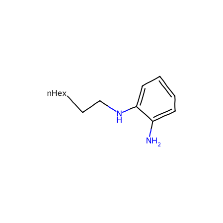 CCCCCCCCNc1ccccc1N